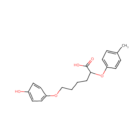 Cc1ccc(OC(CCCCOc2ccc(O)cc2)C(=O)O)cc1